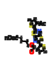 CCCCCCCCCCCCCCOC(=O)c1ccsc1-c1nc2sc(-c3sccc3C(C)=O)nc2s1